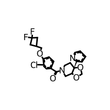 O=C(c1ccc(OCC2CC(F)(F)C2)c(Cl)c1)N1CC[C@]2(c3ccccn3)OCOC2C1